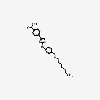 CCCCCCCCOc1ccc(Nc2nc(-c3ccc(C(=O)O)cc3)cs2)cc1